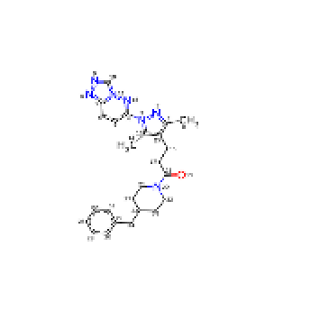 Cc1nn(-c2ccc3nncn3n2)c(C)c1CCC(=O)N1CCC(Cc2ccccc2)CC1